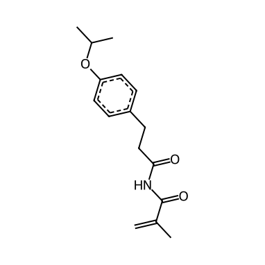 C=C(C)C(=O)NC(=O)CCc1ccc(OC(C)C)cc1